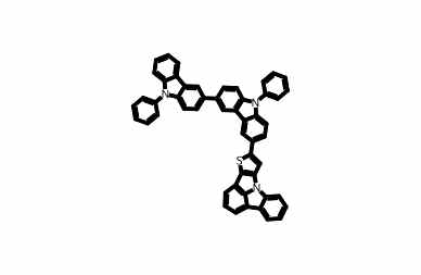 c1ccc(-n2c3ccccc3c3cc(-c4ccc5c(c4)c4cc(-c6cc7c(s6)c6cccc8c9ccccc9n7c86)ccc4n5-c4ccccc4)ccc32)cc1